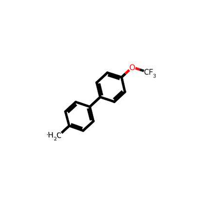 [CH2]c1ccc(-c2ccc(OC(F)(F)F)cc2)cc1